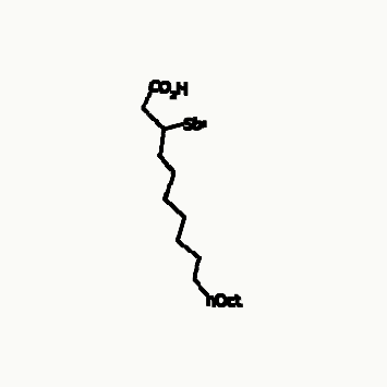 CCCCCCCCCCCCCCC[CH]([Sb])CC(=O)O